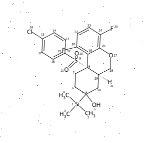 C[Si](C)(C)C1(O)CC[C@@]2(S(=O)(=O)c3ccc(Cl)cc3)c3c(F)ccc(F)c3OC[C@H]2C1